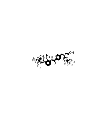 Cc1c(NC(=O)c2ccc(CN(CCO)C(=O)OC(C)(C)C)cn2)cccc1B1OC(C)(C)C(C)(C)O1